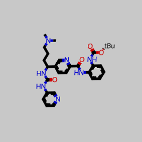 CN(C)CCCC(NC(=O)Nc1cccnc1)c1ccc(C(=O)Nc2ccccc2NC(=O)OC(C)(C)C)nc1